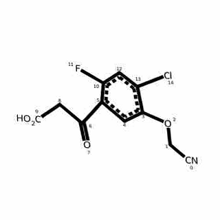 N#CCOc1cc(C(=O)CC(=O)O)c(F)cc1Cl